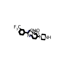 Cn1cc(N2CCNCC2)cc/c1=N/C(=C\C=O)c1cccc(C(F)(F)F)c1